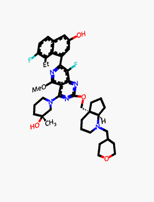 CCc1c(F)ccc2cc(O)cc(-c3nc(OC)c4c(N5CCC[C@@](C)(O)C5)nc(OC[C@]56CCC[C@H]5N(CC5CCOCC5)CCC6)nc4c3F)c12